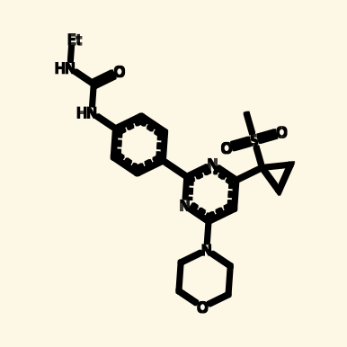 CCNC(=O)Nc1ccc(-c2nc(N3CCOCC3)cc(C3(S(C)(=O)=O)CC3)n2)cc1